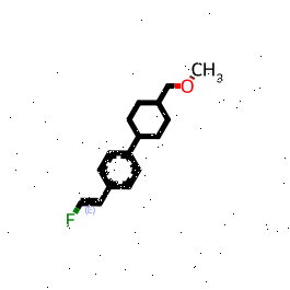 COCC1CCC(c2ccc(/C=C/F)cc2)CC1